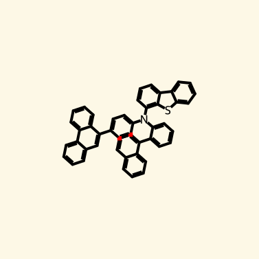 c1ccc(N(c2ccc(-c3cc4ccccc4c4ccccc34)cc2)c2cccc3c2sc2ccccc23)c(-c2cccc3ccccc23)c1